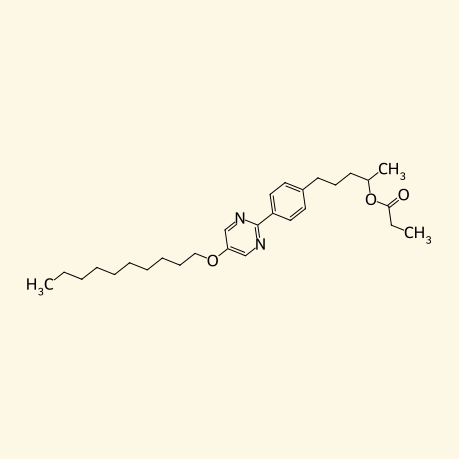 CCCCCCCCCCOc1cnc(-c2ccc(CCCC(C)OC(=O)CC)cc2)nc1